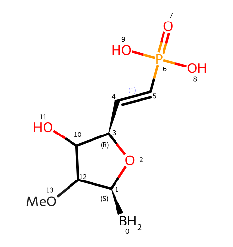 B[C@@H]1O[C@H](/C=C/P(=O)(O)O)C(O)C1OC